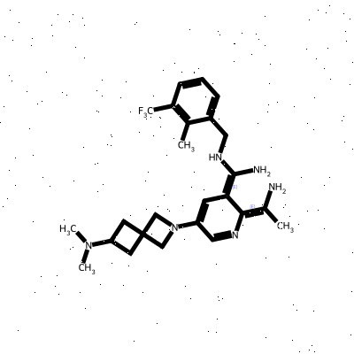 C/C(N)=c1\ncc(N2CC3(CC(N(C)C)C3)C2)c\c1=C(\N)NCc1cccc(C(F)(F)F)c1C